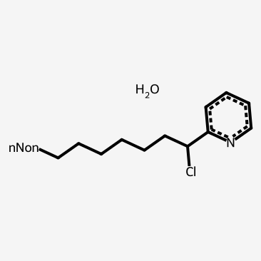 CCCCCCCCCCCCCCCC(Cl)c1ccccn1.O